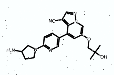 CC(C)(O)COc1cc(-c2ccc(N3CCC(N)C3)nc2)c2c(C#N)cnn2c1